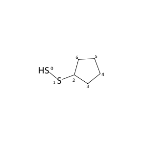 SSC1CCCC1